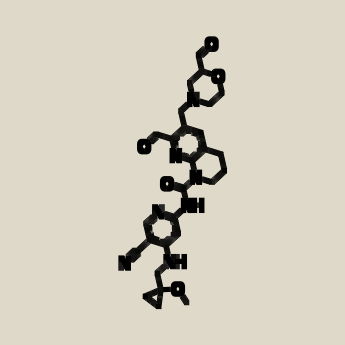 COC1(CNc2cc(NC(=O)N3CCCc4cc(CN5CCOC(C=O)C5)c(C=O)nc43)ncc2C#N)CC1